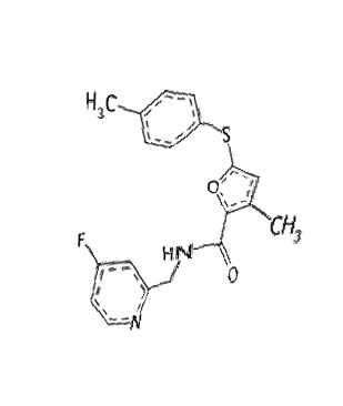 Cc1ccc(Sc2cc(C)c(C(=O)NCc3cc(F)ccn3)o2)cc1